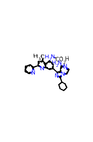 Cc1cc(-c2ccccn2)nc2cc(-c3nc(C4CCCCC4)n4ccnc(N)c34)ccc12.NC(=O)O